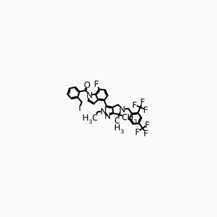 CCn1nc2c(c1-c1ccc(F)c3c1ccn3C(=O)c1ccccc1CI)CN(Cc1ccc(C(F)(F)F)cc1C(F)(F)F)C2(C)C